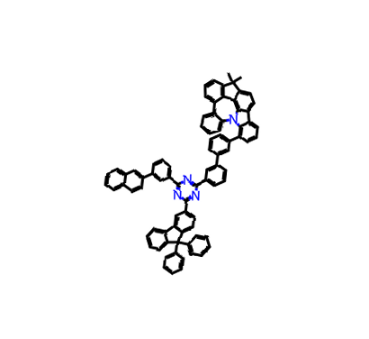 CC1(C)c2cccc3c2-c2c1ccc1c4cccc(-c5cccc(-c6cccc(-c7nc(-c8cccc(-c9ccc%10ccccc%10c9)c8)nc(-c8ccc9c(c8)-c8ccccc8C9(c8ccccc8)c8ccccc8)n7)c6)c5)c4n(c21)-c1ccccc1-3